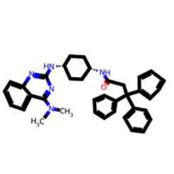 CN(C)c1nc(N[C@H]2CC[C@@H](NC(=O)CC(c3ccccc3)(c3ccccc3)c3ccccc3)CC2)nc2ccccc12